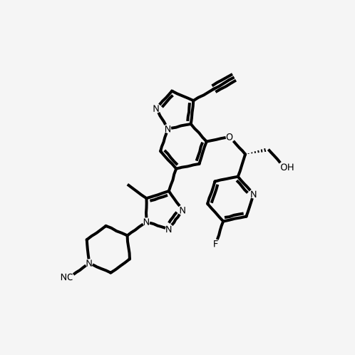 C#Cc1cnn2cc(-c3nnn(C4CCN(C#N)CC4)c3C)cc(O[C@H](CO)c3ccc(F)cn3)c12